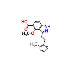 COc1c(C(=O)O)ccc2[nH]nc(C=Cc3sccc3C)c12